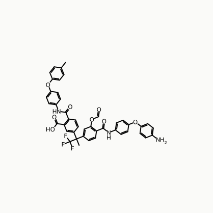 Cc1ccc(Oc2ccc(NC(=O)c3ccc(C(C)(c4ccc(C(=O)Nc5ccc(Oc6ccc(N)cc6)cc5)c(OC=O)c4)C(F)(F)F)cc3C(=O)O)cc2)cc1